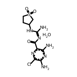 N/C(=N/C(=O)c1nc(Cl)c(N)nc1N)NC1CCS(=O)(=O)C1.O